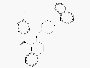 O=C(c1ccc(O)cc1)N1c2ccccc2CCC1CN1CCN(c2cccc3[nH]ccc23)CC1